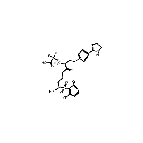 CN(CCc1ccc(C2=NCCN2)cc1)C(=O)CCCN(C)S(=O)(=O)c1c(Cl)cccc1Cl.O=C(O)C(F)(F)F